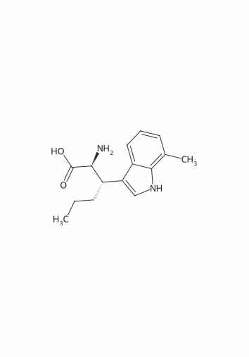 CCC[C@@H](c1c[nH]c2c(C)cccc12)[C@H](N)C(=O)O